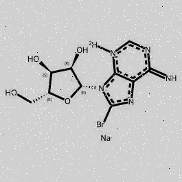 [2H]n1cnc(=N)c2nc(Br)n([C@@H]3O[C@H](CO)[C@@H](O)[C@H]3O)c21.[Na]